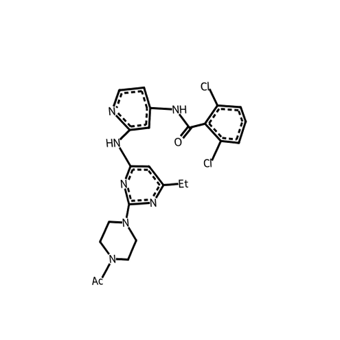 CCc1cc(Nc2cc(NC(=O)c3c(Cl)cccc3Cl)ccn2)nc(N2CCN(C(C)=O)CC2)n1